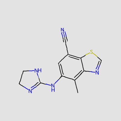 Cc1c(NC2=NCCN2)cc(C#N)c2scnc12